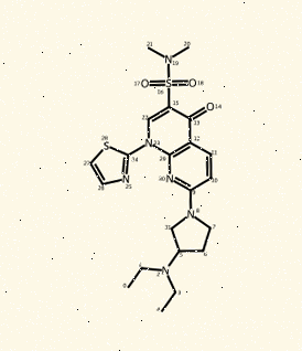 CCN(CC)C1CCN(c2ccc3c(=O)c(S(=O)(=O)N(C)C)cn(-c4nccs4)c3n2)C1